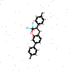 Cc1ccc(-c2ccc3c(c2)OC(F)(F)C(c2ccc(C)cc2)C3)cc1